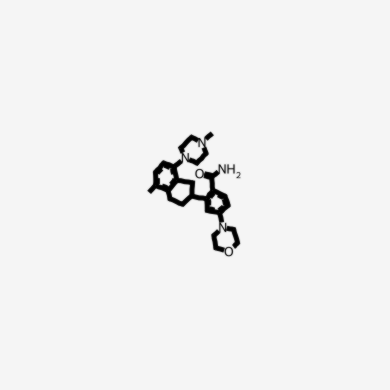 Cc1ccc(N2CCN(C)CC2)c2c1CCC(c1cc(N3CCOCC3)ccc1C(N)=O)C2